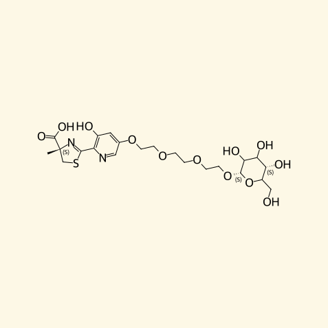 C[C@]1(C(=O)O)CSC(c2ncc(OCCOCCOCCO[C@H]3OC(CO)[C@@H](O)C(O)C3O)cc2O)=N1